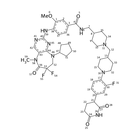 COc1cc(C(=O)NCC2CCN(CC3CCN(c4ccc(C5CCC(=O)NC5=O)cc4F)CC3)CC2)ccc1Nc1ncc2c(n1)N(C1CCCC1)CC(F)(F)C(=O)N2C